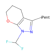 CCCC(C)c1nn(C(F)F)c2c1CCCO2